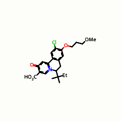 CCC(C)(C)C1Cc2cc(OCCCOC)c(Cl)cc2-c2cc(=O)c(C(=O)O)cn21